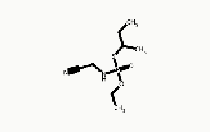 CCOP(=O)(NCC#N)SC(C)CC